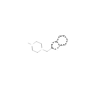 CCOC(=O)N1CCN(Cc2nc3ccccc3[nH]2)CC1